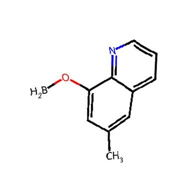 BOc1cc(C)cc2cccnc12